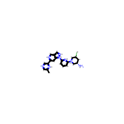 Cc1cncc(-c2cc3c(cn2)cnn3-c2cccc(N3C[C@@H](N)C[C@H](F)C3)n2)n1